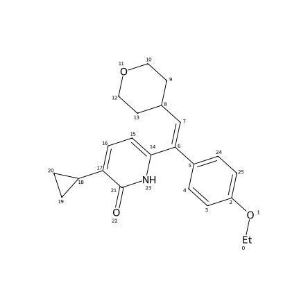 CCOc1ccc(C(=CC2CCOCC2)c2ccc(C3CC3)c(=O)[nH]2)cc1